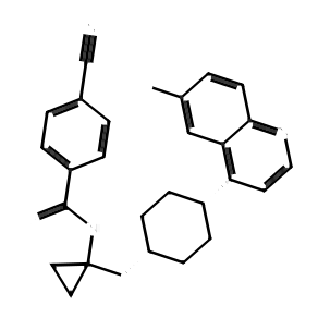 N#Cc1ccc(C(=O)NC2(C[C@H]3CC[C@@H](c4ccnc5ccc(F)cc54)CC3)CC2)cc1